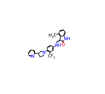 Cc1cccc2c1/C(=C/Nc1ccc(N3CCC(c4ccccn4)C3)c(C(F)(F)F)c1)C(=O)N2